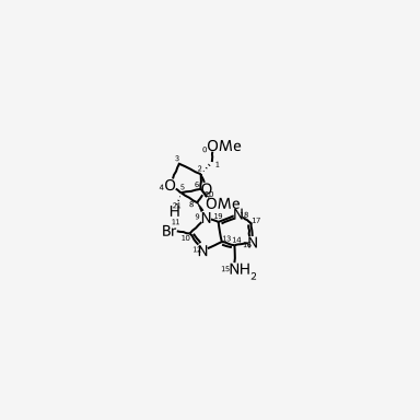 COC[C@@]12CO[C@@H](C1OC)[C@H](n1c(Br)nc3c(N)ncnc31)O2